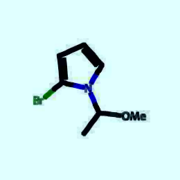 COC(C)n1cccc1Br